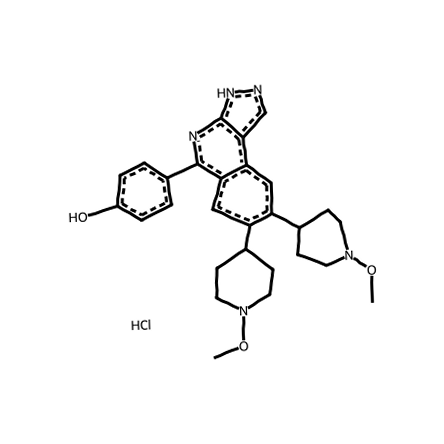 CON1CCC(c2cc3c(-c4ccc(O)cc4)nc4[nH]ncc4c3cc2C2CCN(OC)CC2)CC1.Cl